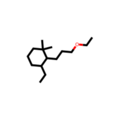 CCOCCCC1C(CC)CCCC1(C)C